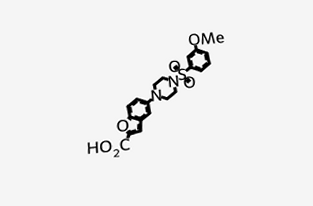 COc1cccc(S(=O)(=O)N2CCN(c3ccc4oc(C(=O)O)cc4c3)CC2)c1